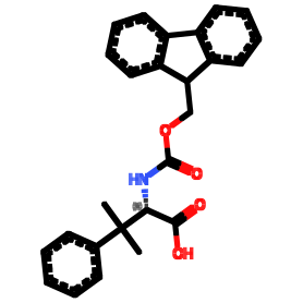 CC(C)(c1ccccc1)[C@H](NC(=O)OCC1c2ccccc2-c2ccccc21)C(=O)O